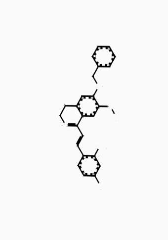 COc1cc2c(cc1OCc1ccccc1)CCN=C2C=Cc1ccc(F)cc1C